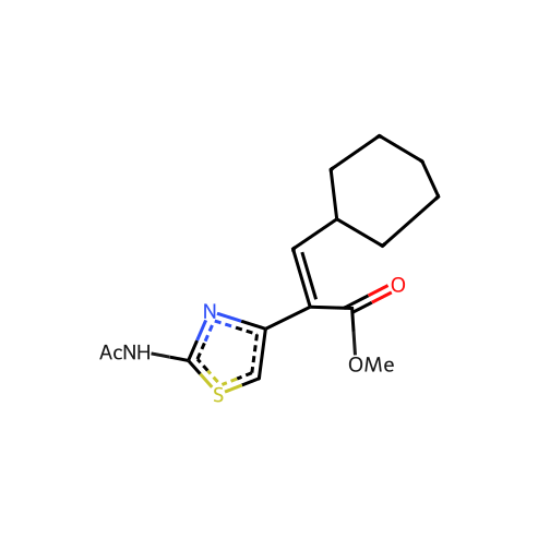 COC(=O)/C(=C\C1CCCCC1)c1csc(NC(C)=O)n1